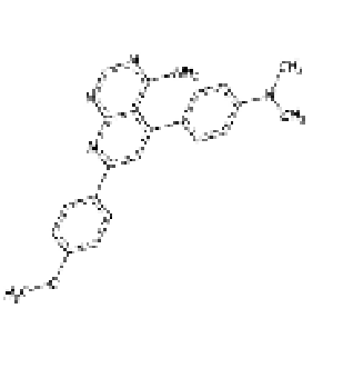 COc1ccc(-c2cc(-c3ccc(N(C)C)cc3)c3c(N)ncnc3n2)cc1